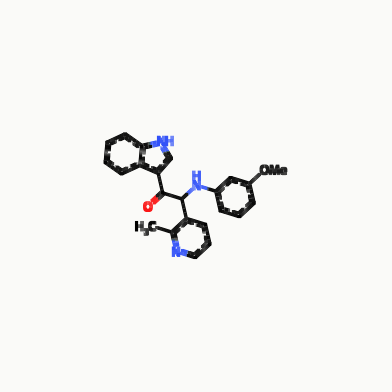 COc1cccc(NC(C(=O)c2c[nH]c3ccccc23)c2cccnc2C)c1